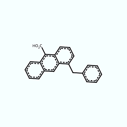 O=C(O)c1c2ccccc2cc2c(Cc3ccccc3)cccc12